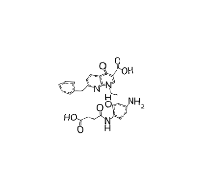 CCn1cc(C(=O)O)c(=O)c2ccc(Cc3ccccc3)nc21.Nc1ccc(NC(=O)CCC(=O)O)c(O)c1